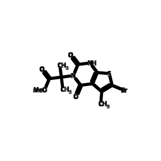 COC(=O)C(C)(C)n1c(=O)[nH]c2sc(Br)c(C)c2c1=O